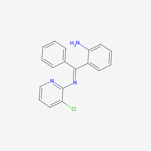 Nc1ccccc1C(=Nc1ncccc1Cl)c1ccccc1